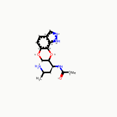 COC(=O)N[C@@H](CC(C)N)C1COc2ccc3cn[nH]c3c2O1